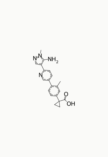 Cc1cc(C2(C(=O)O)CC2)ccc1-c1ccc(-c2cnn(C)c2N)nc1